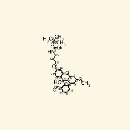 COC1C=CC2C(=C1)Oc1cc(OCCCNC(=O)OC(C)(C)C)ccc1C2(O)c1ccccc1C=O